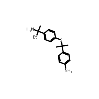 CCC(C)(N)c1ccc(SC(C)(C)c2ccc(N)cc2)cc1